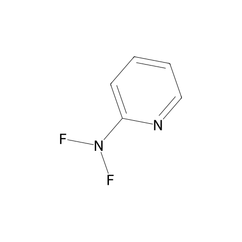 FN(F)c1ccccn1